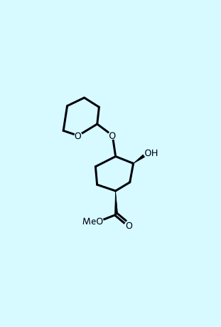 COC(=O)[C@H]1CCC(OC2CCCCO2)[C@@H](O)C1